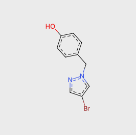 Oc1ccc(Cn2cc(Br)cn2)cc1